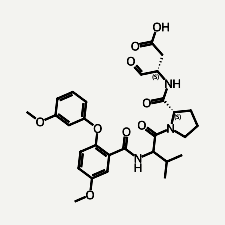 COc1cccc(Oc2ccc(OC)cc2C(=O)NC(C(=O)N2CCC[C@H]2C(=O)N[C@H](C=O)CC(=O)O)C(C)C)c1